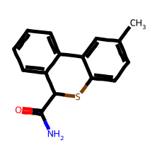 Cc1ccc2c(c1)-c1ccccc1C(C(N)=O)S2